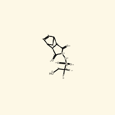 O=C1C2C3C=CC(C3)C2C(=O)N1OS(=O)(=O)C(F)(F)CO